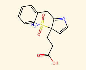 NS(=O)(=O)C1(CCC(=O)O)C=CN=C1Cc1ccccc1